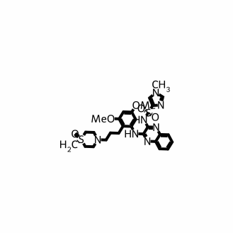 C=S1(=O)CCN(CCCc2c(Nc3nc4ccccc4nc3NS(=O)(=O)c3cn(C)cn3)cc(OC)cc2OC)CC1